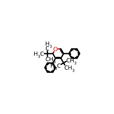 CC(C)(C)C1=C(c2ccccc2)C(C(C)(C)C)OC=C1c1ccccc1